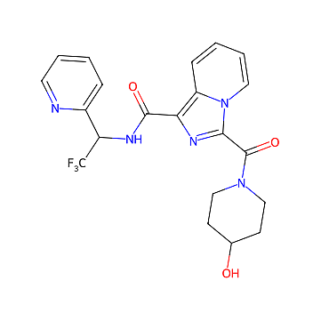 O=C(NC(c1ccccn1)C(F)(F)F)c1nc(C(=O)N2CCC(O)CC2)n2ccccc12